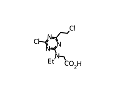 CCN(CC(=O)O)c1nc(Cl)nc(CCCl)n1